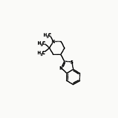 CN1CCC(c2nc3ccccc3s2)CC1(C)C